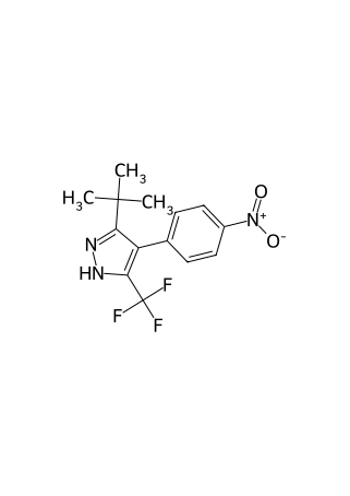 CC(C)(C)c1n[nH]c(C(F)(F)F)c1-c1ccc([N+](=O)[O-])cc1